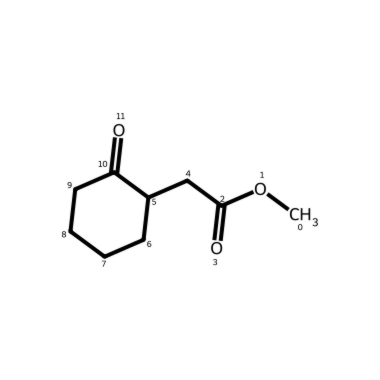 COC(=O)CC1CCCCC1=O